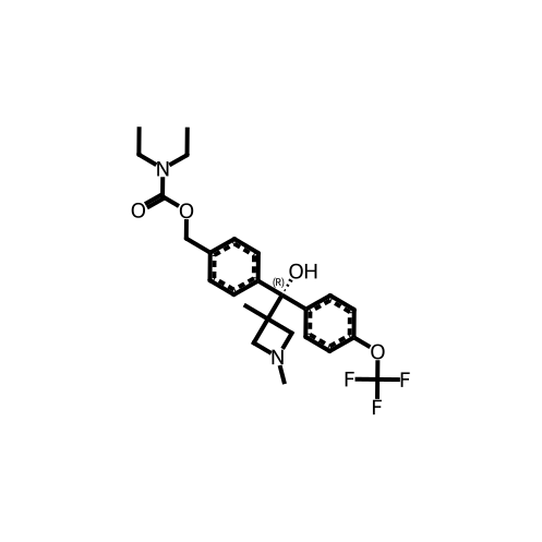 CCN(CC)C(=O)OCc1ccc([C@@](O)(c2ccc(OC(F)(F)F)cc2)C2(C)CN(C)C2)cc1